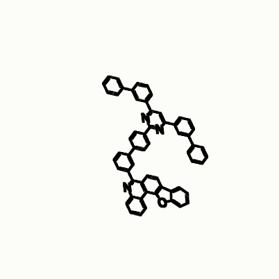 c1ccc(-c2cccc(-c3cc(-c4cccc(-c5ccccc5)c4)nc(-c4ccc(-c5cccc(-c6nc7ccccc7c7c6ccc6c8ccccc8oc67)c5)cc4)n3)c2)cc1